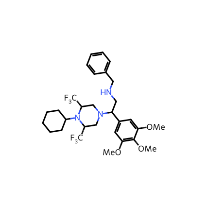 COc1cc(C(CNCc2ccccc2)N2CC(C(F)(F)F)N(C3CCCCC3)C(C(F)(F)F)C2)cc(OC)c1OC